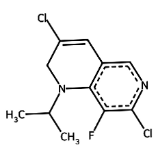 CC(C)N1CC(Cl)=Cc2cnc(Cl)c(F)c21